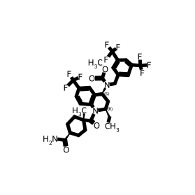 CC[C@@H]1C[C@H](N(Cc2cc(C(F)(F)F)cc(C(F)(F)F)c2)C(=O)OC)c2cc(C(F)(F)F)ccc2N1C(=O)[C@]1(C)CC[C@@H](C(N)=O)CC1